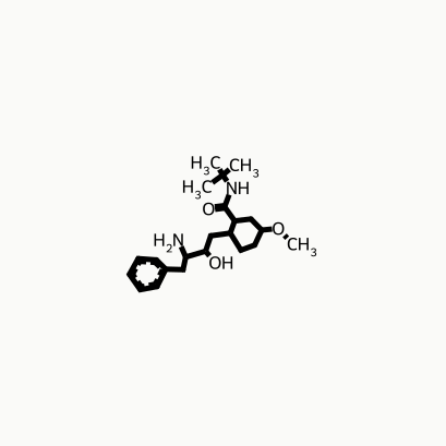 COC1CCC(CC(O)C(N)Cc2ccccc2)C(C(=O)NC(C)(C)C)C1